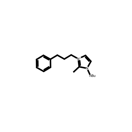 CCCCn1cc[n+](CCCc2ccccc2)c1C